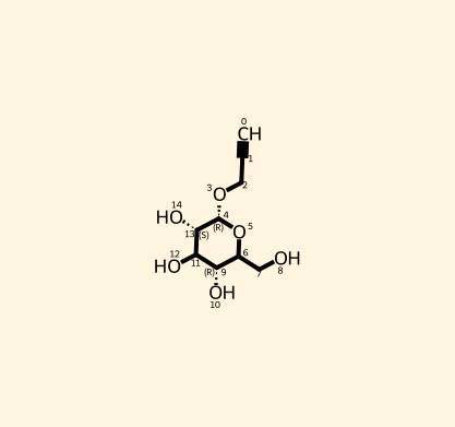 C#CCO[C@@H]1OC(CO)[C@H](O)C(O)[C@@H]1O